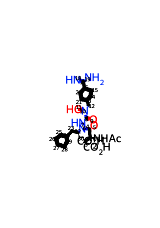 CC(=O)N[C@@H](CC(=O)O)C(=O)N(NC(=O)N(O)Cc1ccc(C(=N)N)cc1)[C@@H](Cc1ccccc1)C(=O)O